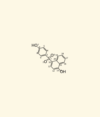 O=S(=O)(c1ccc(O)cc1)c1ccc(O)c2ccccc12